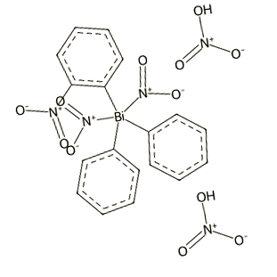 O=[N+]([O-])O.O=[N+]([O-])O.O=[N+]([O-])c1cccc[c]1[Bi]([c]1ccccc1)([c]1ccccc1)([N+](=O)[O-])[N+](=O)[O-]